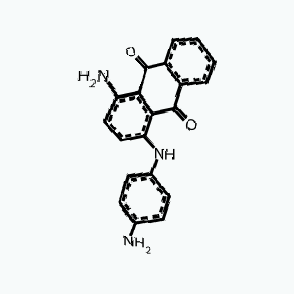 Nc1ccc(Nc2ccc(N)c3c2C(=O)c2ccccc2C3=O)cc1